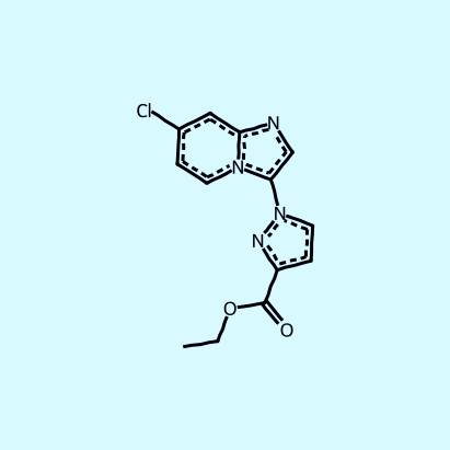 CCOC(=O)c1ccn(-c2cnc3cc(Cl)ccn23)n1